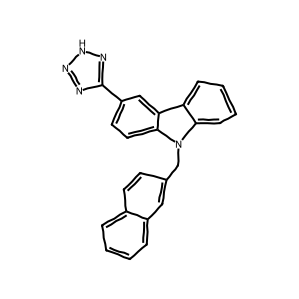 c1ccc2cc(Cn3c4ccccc4c4cc(-c5nn[nH]n5)ccc43)ccc2c1